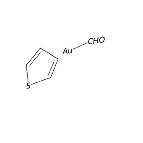 O=[CH][Au].c1ccsc1